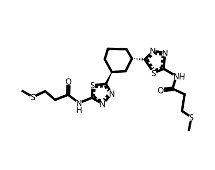 CSCCC(=O)Nc1nnc([C@H]2CCC[C@H](c3nnc(NC(=O)CCSC)s3)C2)s1